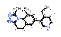 CCc1c(F)cncc1-c1cc(C)c2c(c1)CCc1nnc(C)n1-2